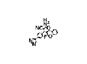 N#CC1=C(N)OC2=C(COc3ccccc32)C1c1ccc(-c2cncnc2)cc1F